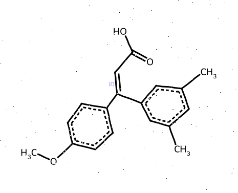 COc1ccc(/C(=C/C(=O)O)c2cc(C)cc(C)c2)cc1